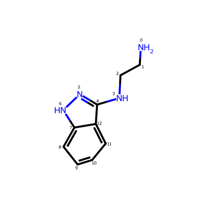 NCCNc1n[nH]c2ccccc12